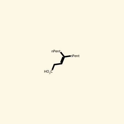 CCCCCC(=CCC(=O)O)CCCCC